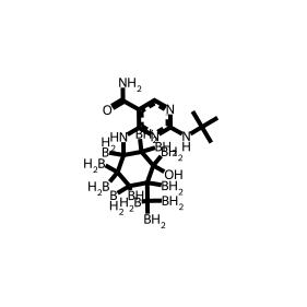 BC(B)(B)C1(B)C(B)(B)C(B)(B)C(B)(Nc2nc(NC(C)(C)C)ncc2C(N)=O)C(B)(B)C1(B)O